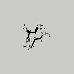 C=CC(=O)O.CCC[SiH3]